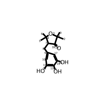 CC1(C)OC(C)(C)C(Cc2cc(O)c(O)c(O)c2)C1=O